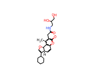 Cc1c2c(oc(=O)c1CC(=O)NCC(O)CO)C=C[C@@H]1C(C3CCCCC3)=COC21